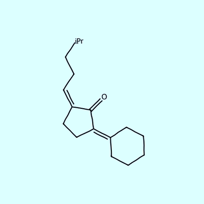 CC(C)CCC=C1CCC(=C2CCCCC2)C1=O